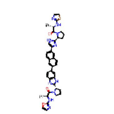 CC(C)[C@H](Nc1nccs1)C(=O)N1CCC[C@H]1c1nc(-c2ccc3cc(-c4ccc5[nH]c([C@@H]6CCCN6C(=O)[C@@H](Nc6ncco6)C(C)C)nc5c4)ccc3c2)c[nH]1